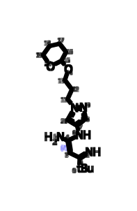 CC(C)(C)C(=N)/C=C(/N)Nc1cnn(CCCOC2CCCCO2)c1